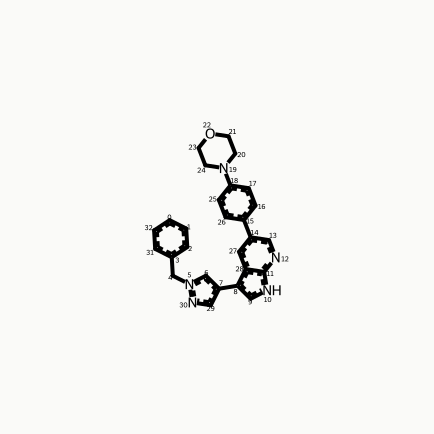 c1ccc(Cn2cc(-c3c[nH]c4ncc(-c5ccc(N6CCOCC6)cc5)cc34)cn2)cc1